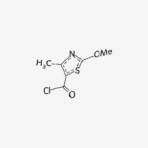 COc1nc(C)c(C(=O)Cl)s1